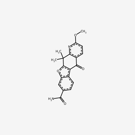 COc1ccc2c(n1)C(C)(C)c1oc3cc(C(N)=O)ccc3c1C2=O